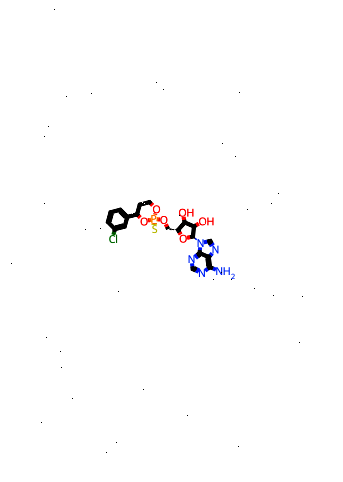 Nc1ncnc2c1ncn2[C@@H]1O[C@H](COP2(=S)OCCC(c3cccc(Cl)c3)O2)C(O)C1O